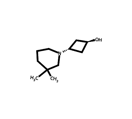 CC1(C)CCCN([C@H]2C[C@H](O)C2)C1